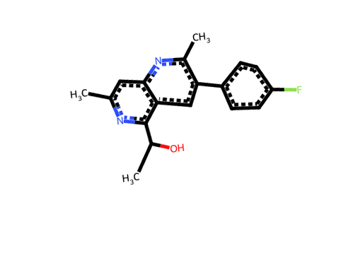 Cc1cc2nc(C)c(-c3ccc(F)cc3)cc2c(C(C)O)n1